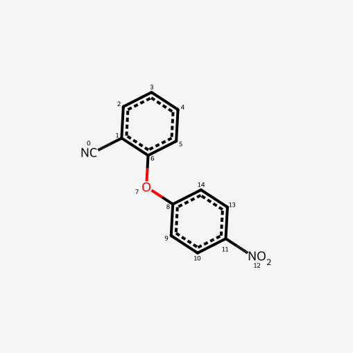 N#Cc1ccccc1Oc1ccc([N+](=O)[O-])cc1